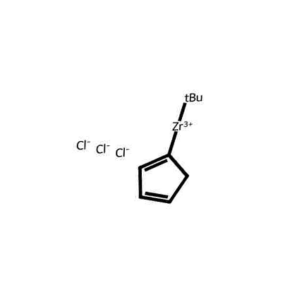 C[C](C)(C)[Zr+3][C]1=CC=CC1.[Cl-].[Cl-].[Cl-]